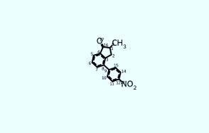 CC1Cc2c(cccc2-c2ccc([N+](=O)[O-])cc2)C1=O